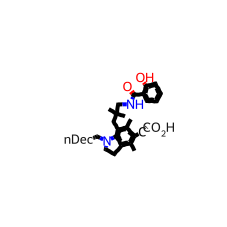 CCCCCCCCCCCN1CCc2c(C)c(CC(=O)O)c(C)c(CC(C)(C)CNC(=O)c3ccccc3O)c21